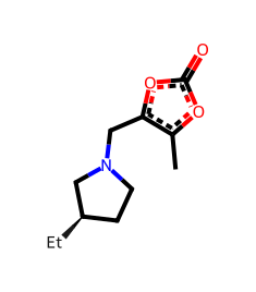 CC[C@@H]1CCN(Cc2oc(=O)oc2C)C1